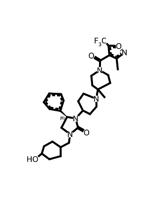 Cc1noc(C(F)(F)F)c1C(=O)N1CCC(C)(N2CCC(N3C(=O)N(CC4CCC(O)CC4)C[C@H]3c3ccccc3)CC2)CC1